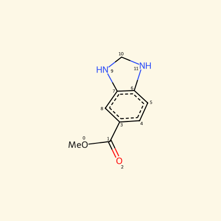 COC(=O)c1ccc2c(c1)NCN2